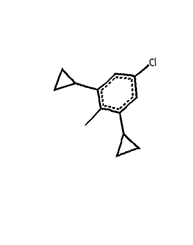 Cc1c(C2CC2)cc(Cl)cc1C1CC1